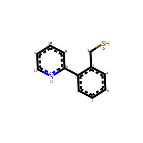 SCc1ccccc1-c1ccccn1